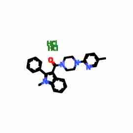 Cc1ccc(N2CCN(C(=O)c3c(-c4ccccc4)n(C)c4ccccc34)CC2)nc1.Cl.Cl